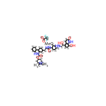 COc1cc(CNC[C@H](O)c2ccc(O)c3[nH]c(=O)ccc23)ccc1NC(=O)CCc1ccc(-c2ccccc2)c(NC(=O)OC2CC[N+](C)(C)CC2)c1.O=C([O-])C(F)(F)F